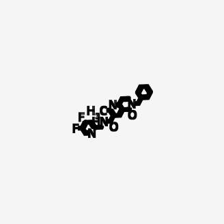 Cc1nc2ccn(Cc3ccccc3)c(=O)c2cc1C(=O)NCc1cc(F)c(F)cn1